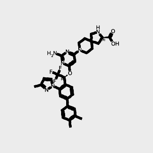 Cc1ccn(-c2cc(-c3ccc(C)c(C)c3)ccc2[C@@H](Oc2cc(N3CCC4(CC3)CN[C@@H](C(=O)O)C4)nc(N)n2)C(F)(F)F)n1